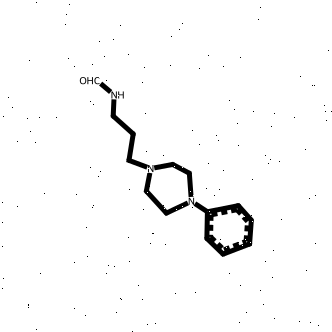 O=CNCCCN1CCN(c2ccccc2)CC1